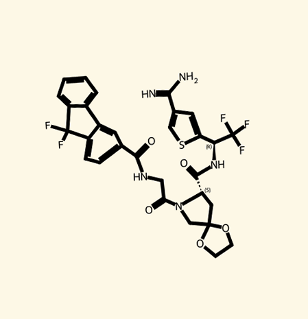 N=C(N)c1csc([C@H](NC(=O)[C@@H]2CC3(CN2C(=O)CNC(=O)c2ccc4c(c2)-c2ccccc2C4(F)F)OCCO3)C(F)(F)F)c1